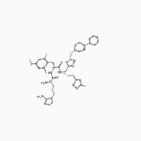 COc1cc(C)c(C[C@H](NC(=O)[C@H](N)CCCn2ccnc2N)C(=O)N[C@@H](CCc2cn(C)cn2)c2nc(Cc3ccc(-c4ccccc4)cc3)no2)c(C)c1